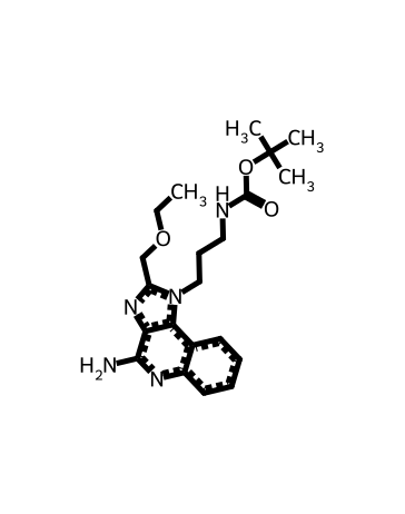 CCOCc1nc2c(N)nc3ccccc3c2n1CCCNC(=O)OC(C)(C)C